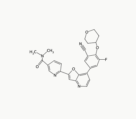 CN(C)C(=O)c1ccc(-c2cc3nccc(-c4cc(F)c(OC5CCOCC5)c(C#N)c4)c3o2)nc1